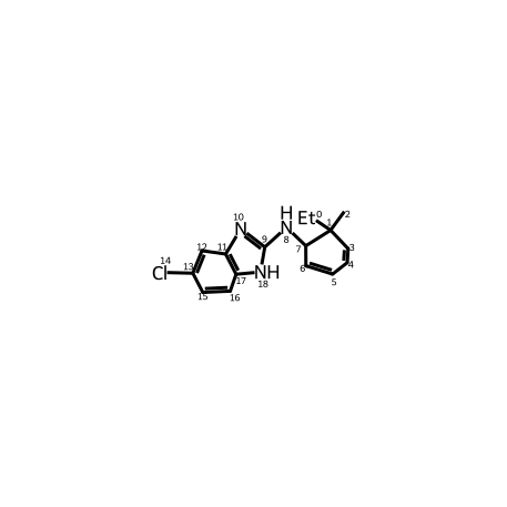 CCC1(C)C=CC=CC1Nc1nc2cc(Cl)ccc2[nH]1